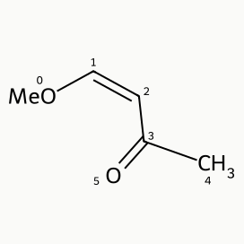 CO/C=C\C(C)=O